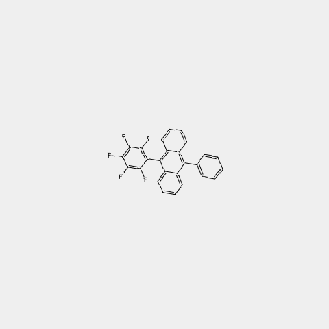 Fc1c(F)c(F)c(-c2c3ccccc3c(-c3ccccc3)c3ccccc23)c(F)c1F